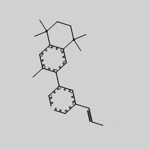 Cc1cc2c(cc1-c1cncc(C=CC(=O)O)c1)C(C)(C)CCC2(C)C